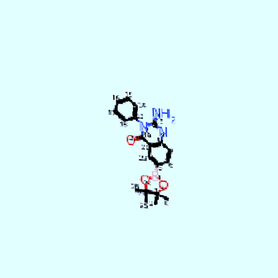 CC1(C)OB(c2ccc3nc(N)n(-c4ccccc4)c(=O)c3c2)OC1(C)C